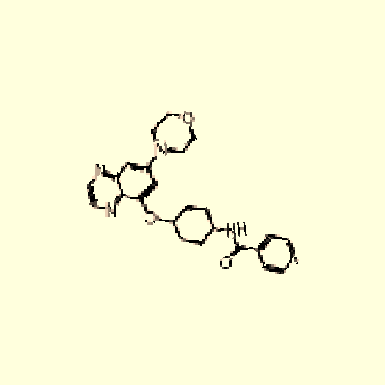 O=C(NC1CCC(Oc2cc(N3CCOCC3)cc3nccnc23)CC1)c1ccncc1